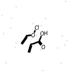 C=CC(=O)O.C=COCl